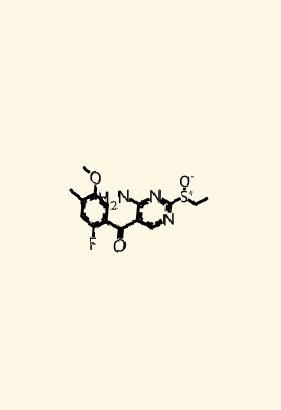 CC[S+]([O-])c1ncc(C(=O)c2cc(OC)c(C)cc2F)c(N)n1